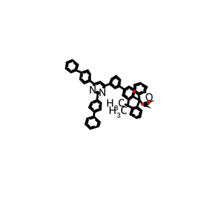 CC1(C)c2ccccc2C2(c3ccccc3Oc3ccccc32)c2ccc(-c3cccc(-c4cc(-c5ccc(-c6ccccc6)cc5)nc(-c5ccc(-c6ccccc6)cc5)n4)c3)cc21